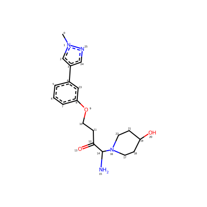 Cn1cc(-c2c[c]cc(OCCC(=O)C(N)N3CCC(O)CC3)c2)cn1